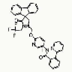 O=C(Nc1ccc(OCCCC2(C(=O)NCC(F)(F)F)c3ccccc3-c3ccccc32)nc1)c1ccccc1-c1ccccn1